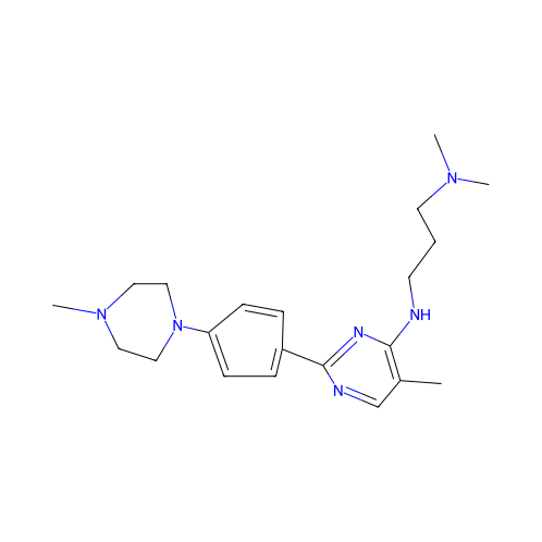 Cc1cnc(-c2ccc(N3CCN(C)CC3)cc2)nc1NCCCN(C)C